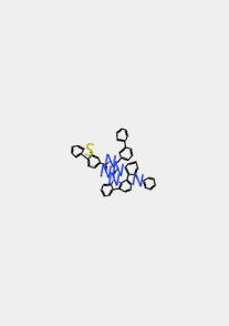 c1ccc(-c2cccc(-c3nc(-c4ccc5c(c4)sc4ccccc45)nc(-n4c5ccccc5c5ccc6c(c7ccccc7n6-c6ccccc6)c54)n3)c2)cc1